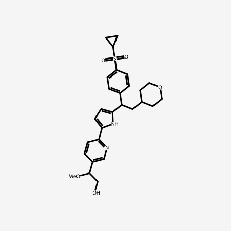 COC(CO)c1ccc(-c2ccc(C(CC3CCOCC3)c3ccc(S(=O)(=O)C4CC4)cc3)[nH]2)nc1